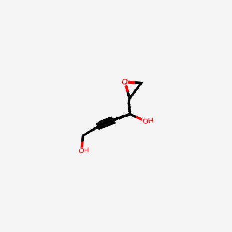 OCC#CC(O)C1CO1